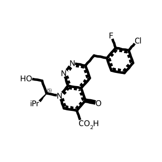 CC(C)[C@@H](CO)n1cc(C(=O)O)c(=O)c2cc(Cc3cccc(Cl)c3F)nnc21